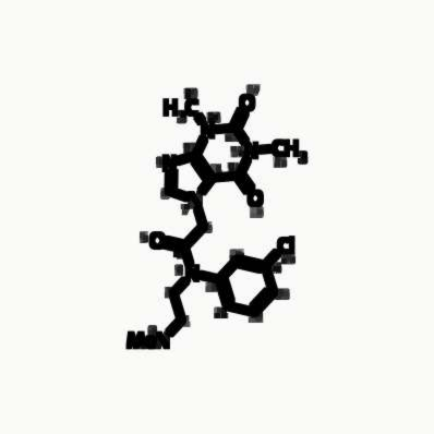 CNCCN(C(=O)Cn1cnc2c1c(=O)n(C)c(=O)n2C)c1cccc(Cl)c1